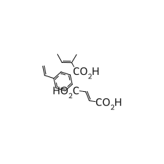 C=Cc1ccccc1.CC=C(C)C(=O)O.O=C(O)C=CC(=O)O